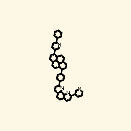 c1ccc(-c2ccc(-c3ccc4ccc5c(-c6ccc(-c7ccc8ccc9ccc(-c%10cccnc%10)nc9c8n7)cc6)ccc6ccc3c4c65)cn2)cc1